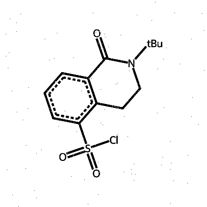 CC(C)(C)N1CCc2c(cccc2S(=O)(=O)Cl)C1=O